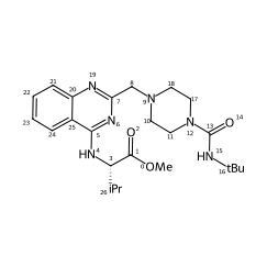 COC(=O)[C@@H](Nc1nc(CN2CCN(C(=O)NC(C)(C)C)CC2)nc2ccccc12)C(C)C